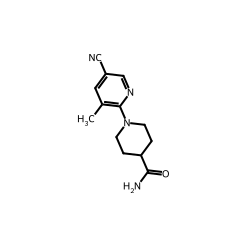 Cc1cc(C#N)cnc1N1CCC(C(N)=O)CC1